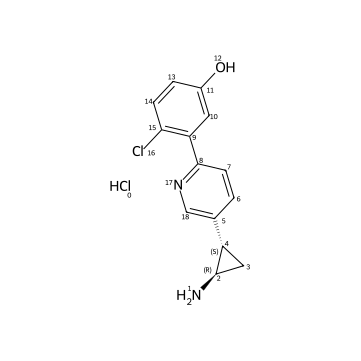 Cl.N[C@@H]1C[C@H]1c1ccc(-c2cc(O)ccc2Cl)nc1